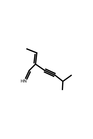 C/C=C(/C#CC(C)C)C=N